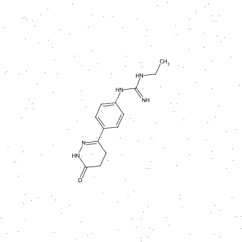 CCNC(=N)Nc1ccc(C2=NNC(=O)CC2)cc1